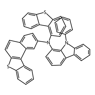 c1ccc(-n2c3ccccc3c3cccc(N(c4ccc5ccc6sc7ccccc7c6c5c4)c4cccc5sc6ccccc6c45)c32)cc1